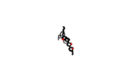 CCCCOc1cc2c(cc1F)OC(C1CCC(C3CCC(CC)CC3)CC1)CC2